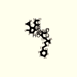 Cc1ccc(S(=O)(=O)Nc2c(O)cc(C3(CCCc4ccccc4)CC3)oc2=O)c(-c2ccccc2)c1C1CC1